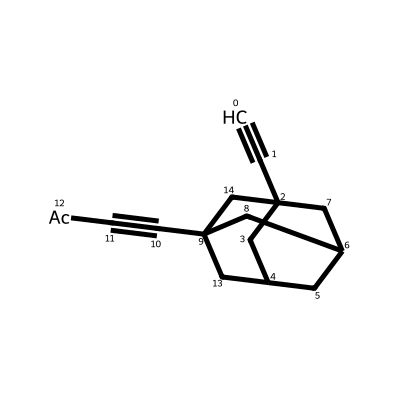 C#CC12CC3CC(C1)CC(C#CC(C)=O)(C3)C2